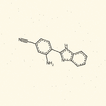 N#Cc1ccc(-c2nc3ccccc3[nH]2)c(N)c1